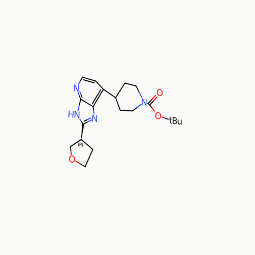 CC(C)(C)OC(=O)N1CCC(c2ccnc3[nH]c([C@H]4CCOC4)nc23)CC1